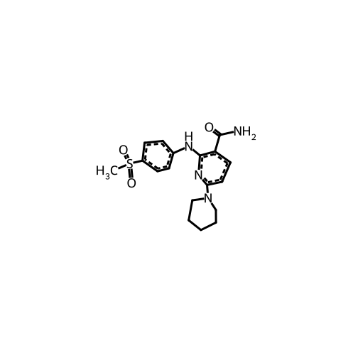 CS(=O)(=O)c1ccc(Nc2nc(N3CCCCC3)ccc2C(N)=O)cc1